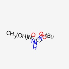 CC1Cc2[nH]nc(C(=O)N(C)O)c2CN1C(=O)OC(C)(C)C